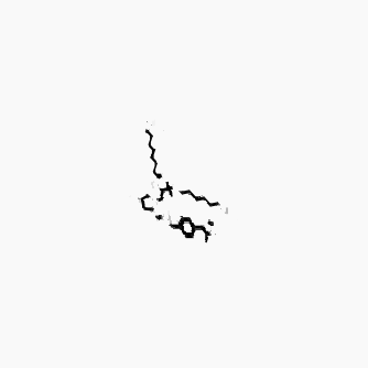 Cc1ncsc1-c1ccc(CNC(=O)[C@@H]2C[C@@H](O)CN2C(=O)[C@@H](NC(=O)CCCCCCCN)C(C)(C)SCCCCCCN)cc1